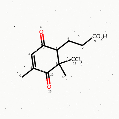 CC1=CC(=O)C(CCC(=O)O)C(C)(C(Cl)(Cl)Cl)C1=O